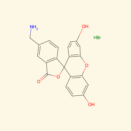 Br.NCc1ccc2c(c1)C(=O)OC21c2ccc(O)cc2Oc2cc(O)ccc21